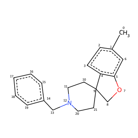 Cc1ccc2c(c1)OCC21CCN(Cc2ccccc2)CC1